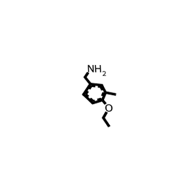 CCOc1ccc(CN)cc1C